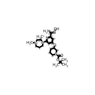 C[C@H]1CN(C)CCCN1c1cc(OC2CCCN(C(=O)OC(C)(C)C)C2)cc(/C(N)=N/O)n1